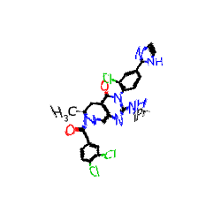 CC(C)Nc1nc2c(c(=O)n1-c1ccc(-c3ncc[nH]3)cc1Cl)C[C@@H](C)N(C(=O)c1ccc(Cl)c(Cl)c1)C2